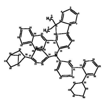 CC1(C)c2ccccc2-c2ccc(N(c3ccc(C4CC5CCC4C5)cc3)c3cccc(-c4ccccc4C4CCCCC4)c3)c(-c3ccc4ccccc4c3)c21